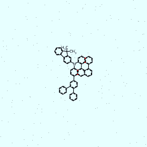 CC1(C)c2ccccc2-c2ccc(N(c3ccc(-c4ccc(-c5ccccc5)c(-c5ccccc5)c4)cc3)c3ccccc3-c3cccc4cccc(-c5ccccc5)c34)cc21